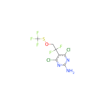 Nc1nc(Cl)c(C(F)(F)COSC(F)(F)F)c(Cl)n1